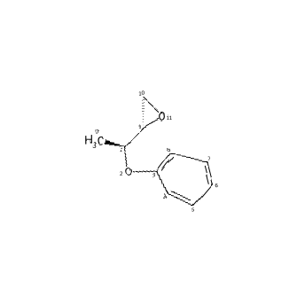 C[C@H](Oc1[c]cccc1)[C@@H]1CO1